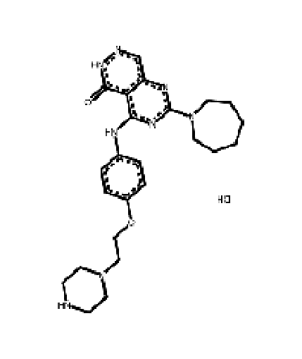 Cl.O=c1[nH]ncc2nc(N3CCCCCC3)nc(Nc3ccc(OCCN4CCNCC4)cc3)c12